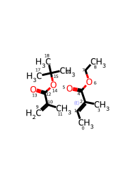 C/C=C(\C)C(=O)OCC.C=C(C)C(=O)OC(C)(C)C